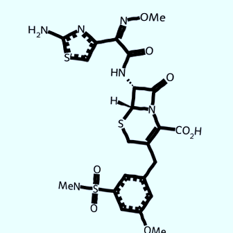 CNS(=O)(=O)c1cc(CC2=C(C(=O)O)N3C(=O)[C@@H](NC(=O)/C(=N\OC)c4csc(N)n4)[C@H]3SC2)cc(OC)c1